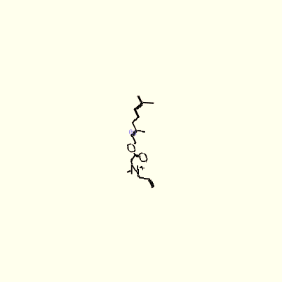 C=CC[N+](C)(C)CC(=O)OC/C=C(\C)CCC=C(C)C